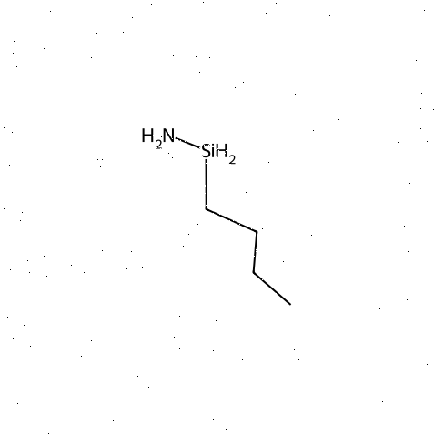 CCCC[SiH2]N